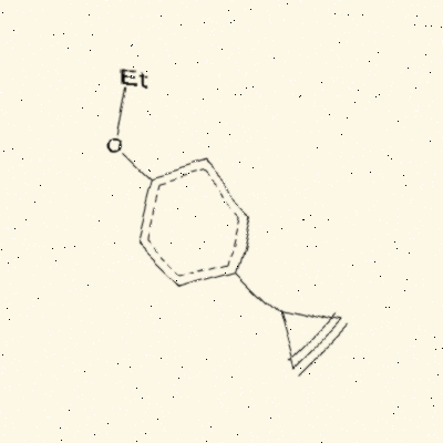 CCOc1ccc(C2C#C2)cc1